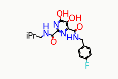 CC(C)CNC(=O)c1nc(O)c(O)c(C(=O)NCc2ccc(F)cc2)n1